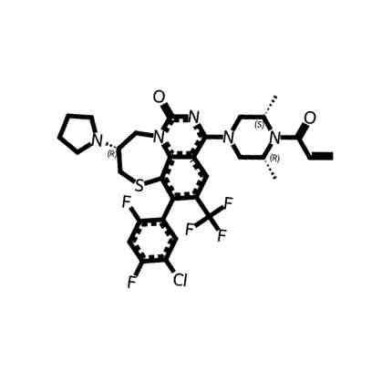 C=CC(=O)N1[C@H](C)CN(c2nc(=O)n3c4c(c(-c5cc(Cl)c(F)cc5F)c(C(F)(F)F)cc24)SC[C@H](N2CCCC2)C3)C[C@@H]1C